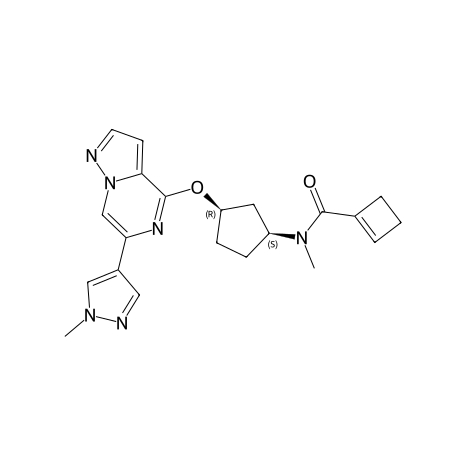 CN(C(=O)C1=CCC1)[C@H]1CC[C@@H](Oc2nc(-c3cnn(C)c3)cn3nccc23)C1